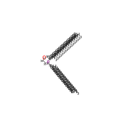 B.B.B.B.B.B.B.B.B.B.B.B.B.B.B.B.B.B.B.B.B.B.B.B.B.B.B.B.B.B.B.B.B.CP1CCOCC1